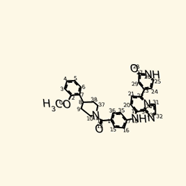 COc1ccccc1C1CCN(C(=O)c2ccc(Nc3ccc(-c4cc[nH]c(=O)c4)n4ccnc34)cc2)CC1